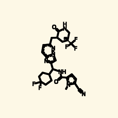 Cn1c(C#N)ccc1C(=O)NC(c1cn2nc(CC3C[C@@H](C(F)(F)F)CNC3=O)ccc2n1)C1CCC(F)(F)CC1